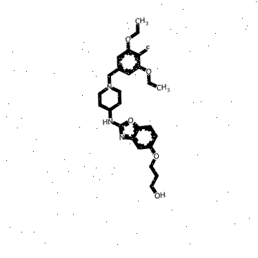 CCOc1cc(CN2CCC(Nc3nc4cc(OCCCO)ccc4o3)CC2)cc(OCC)c1F